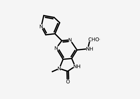 Cn1c(=O)[nH]c2c(N[C]=O)nc(-c3cccnc3)nc21